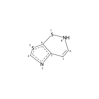 C1=Cc2ncsc2SN1